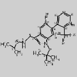 CC(C)SNCc1cn(CC(C)(C)C)c2cc(-c3cccnc3C(F)(F)F)c(F)cc12